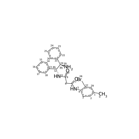 Cc1ccc(NC(=O)CC(=O)N[C@H](c2ccccc2)[C@H](N)c2ccccc2)c(Br)c1